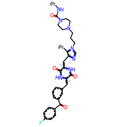 CC(C)NC(=O)N1CCN(CCCn2cnc(/C=c3\[nH]c(=O)/c(=C/c4cccc(C(=O)c5ccc(F)cc5)c4)[nH]c3=O)c2C(C)C)CC1